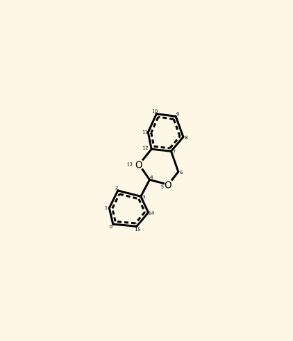 c1ccc(C2OCc3ccccc3O2)cc1